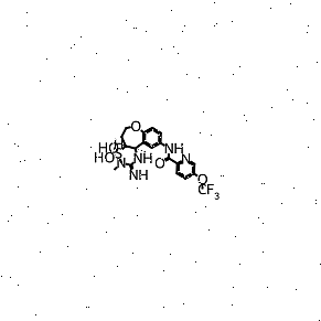 CN1C(=N)N[C@]2(C)c3cc(NC(=O)c4ccc(OC(F)(F)F)cn4)ccc3OCC[C@@H]2S1(O)O